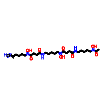 C.CC(=O)N(O)CCCCCNC(=O)CCC(=O)N(O)CCCCCNC(=O)CCC(=O)N(O)CCCCCN